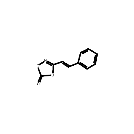 O=c1oc(C=Cc2ccccc2)ns1